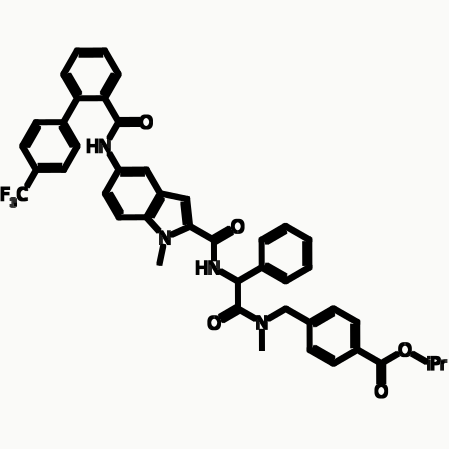 CC(C)OC(=O)c1ccc(CN(C)C(=O)C(NC(=O)c2cc3cc(NC(=O)c4ccccc4-c4ccc(C(F)(F)F)cc4)ccc3n2C)c2ccccc2)cc1